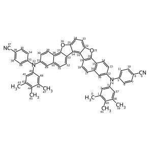 Cc1cc(N(c2ccc(C#N)cc2)c2ccc3c(ccc4c3oc3ccc5oc6c7ccc(N(c8ccc(C#N)cc8)c8cc(C)c(C)c(C)c8)cc7ccc6c5c34)c2)cc(C)c1C